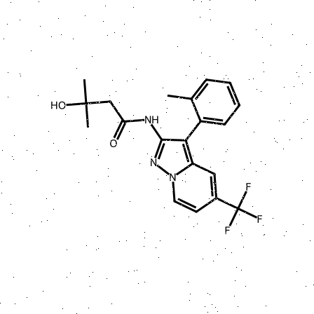 Cc1ccccc1-c1c(NC(=O)CC(C)(C)O)nn2ccc(C(F)(F)F)cc12